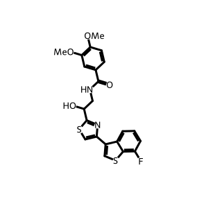 COc1ccc(C(=O)NCC(O)c2nc(-c3csc4c(F)cccc34)cs2)cc1OC